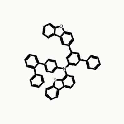 c1ccc(-c2cc(-c3ccc4oc5ccccc5c4c3)cc(N(c3ccc(-c4ccccc4-c4ccccc4)cc3)c3cccc4c3sc3ccccc34)c2)cc1